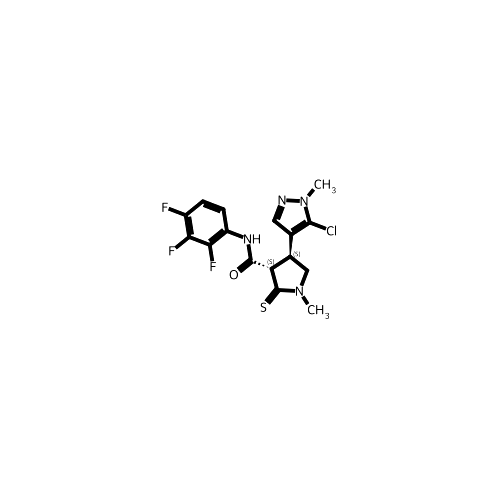 CN1C[C@H](c2cnn(C)c2Cl)[C@@H](C(=O)Nc2ccc(F)c(F)c2F)C1=S